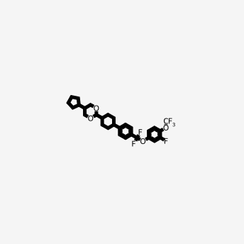 Fc1cc(OC(F)(F)c2ccc(C3CCC(C4OCC(C5CCCC5)CO4)CC3)cc2)ccc1OC(F)(F)F